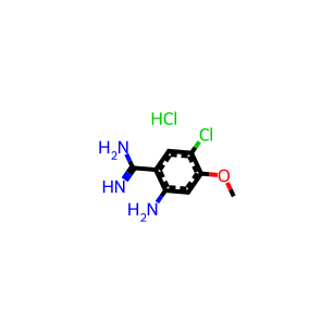 COc1cc(N)c(C(=N)N)cc1Cl.Cl